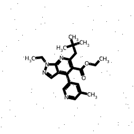 CCOC(=O)c1c(CC(C)(C)C)nc2c(cnn2CC)c1-c1cncc(C)c1